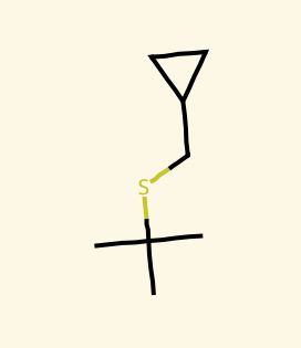 CC(C)(C)SCC1CC1